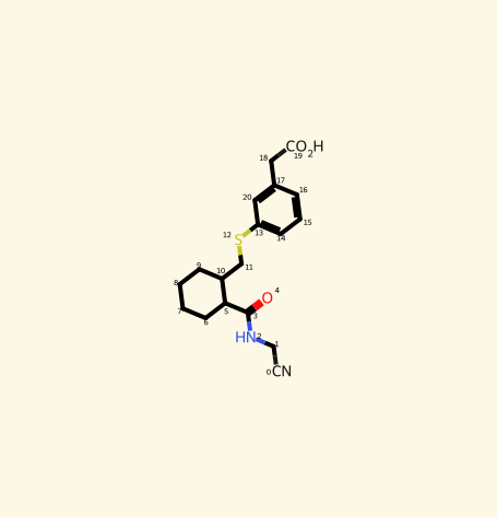 N#CCNC(=O)C1CCCCC1CSc1cccc(CC(=O)O)c1